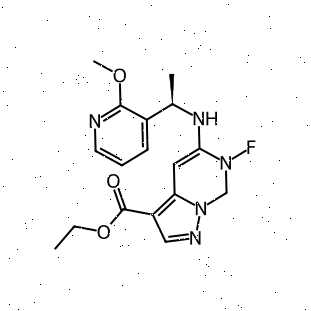 CCOC(=O)c1cnn2c1C=C(N[C@H](C)c1cccnc1OC)N(F)C2